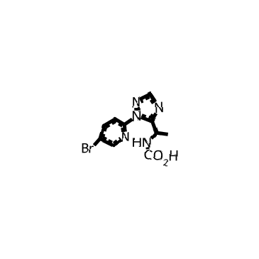 CC(NC(=O)O)c1ncnn1-c1ccc(Br)cn1